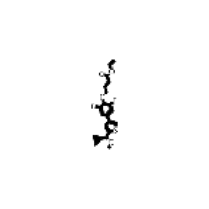 CCOC(=O)CCCOc1c(F)cc(-c2csc(C(OC)C3CC3)c2)cc1F